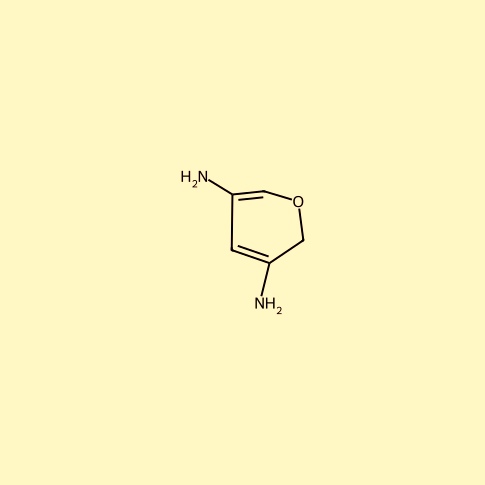 NC1=COCC(N)=C1